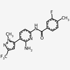 Cc1ccc(C(=O)Nc2ccc(-c3cc(C(F)(F)F)nn3C)c(N)n2)cc1F